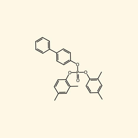 Cc1ccc(OP(=O)(Oc2ccc(-c3ccccc3)cc2)Oc2ccc(C)cc2C)c(C)c1